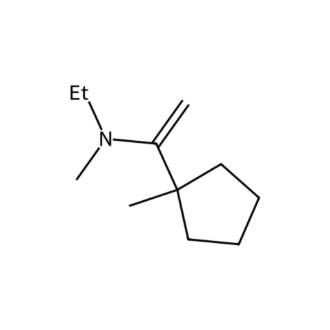 C=C(N(C)CC)C1(C)CCCC1